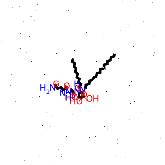 CCCCCCCCCCCCCCCCCCN(C(=O)CCCCCCCCCCC)[C@@H]1O[C@H](CO)[C@@H](O)[C@H](O)[C@H]1NC(=O)CNC(=O)[C@@H](N)CCC(N)=O